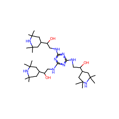 CC1(C)CC(C(O)CNc2nc(NCC(O)C3CC(C)(C)NC(C)(C)C3)nc(NCC(O)C3CC(C)(C)NC(C)(C)C3)n2)CC(C)(C)N1